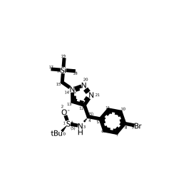 CC(C)(C)[S@@+]([O-])N[C@@H](c1ccc(Br)cc1)c1cn(C[Si](C)(C)C)nn1